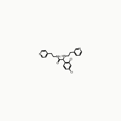 O=C(NCCc1ccncc1)C(NCCc1cccnc1)c1ccc(Cl)cc1Cl